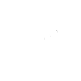 CCCCCCCCCC(=O)CC(=O)CC(=O)O